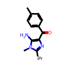 Cc1ccc(C(=O)c2nc(C(C)C)n(C)c2N)cc1